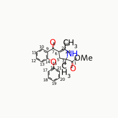 COC(=O)C1(C)CC(C(=O)c2ccccc2Oc2ccccc2)=C(C)N1